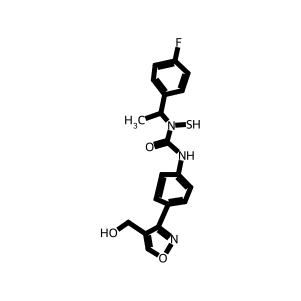 CC(c1ccc(F)cc1)N(S)C(=O)Nc1ccc(-c2nocc2CO)cc1